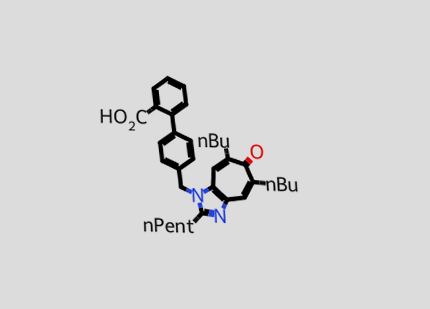 CCCCCc1nc2cc(CCCC)c(=O)c(CCCC)cc2n1Cc1ccc(-c2ccccc2C(=O)O)cc1